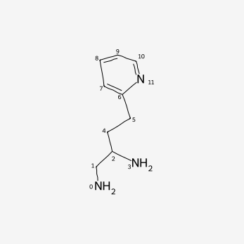 NCC(N)CCc1ccccn1